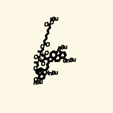 CCCCOc1ccc2c3c1cccc3/c(=C\C=C1/CC/C(=C\C=c3/c4cccc5c(OCCCC)ccc(c54)n3CCCC)C1=C1C(=O)N(C(C)COC(=O)CCCCCCC(=O)OC(C)(C)C)C(=O)N(C(C)COC(C)(C)C)C1=O)n2CCCC